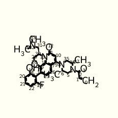 C=CC(=O)N1C[C@H](C)N(c2cc(=O)n3c4c(c(-c5c(O)cccc5F)ccc24)OC[C@H]3CN(C)C)C[C@H]1C